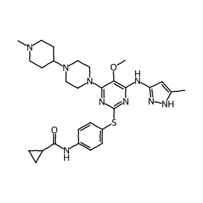 COc1c(Nc2cc(C)[nH]n2)nc(Sc2ccc(NC(=O)C3CC3)cc2)nc1N1CCN(C2CCN(C)CC2)CC1